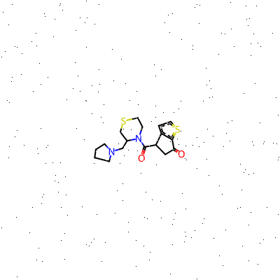 O=C1CC(C(=O)N2CCSCC2CN2CCCC2)c2ccsc21